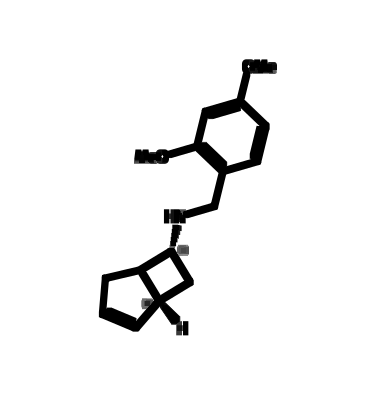 COc1ccc(CN[C@@H]2C[C@@H]3C=CCC32)c(OC)c1